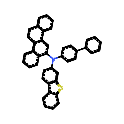 c1ccc(-c2ccc(N(c3ccc4c(c3)sc3ccccc34)c3cc4c5ccccc5ccc4c4ccccc34)cc2)cc1